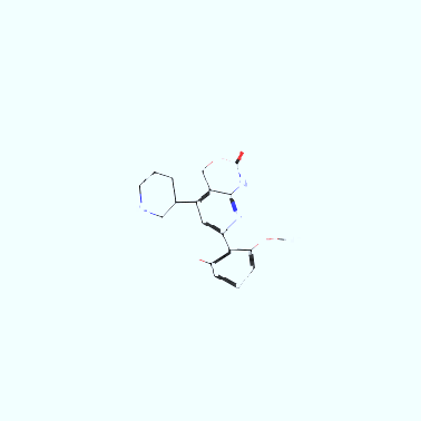 CCCOc1cccc(O)c1-c1cc(C2CCCNC2)c2c(n1)NC(=O)OC2